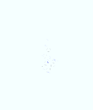 C=C(Nc1cncc(-c2ccc3[nH]nc(-c4nc5c(-c6cc(F)cc(NCCN(C)C)c6)cncc5[nH]4)c3c2)c1)c1ccccc1